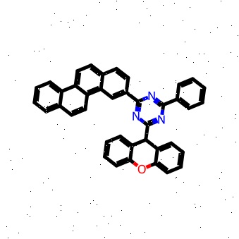 c1ccc(-c2nc(-c3ccc4ccc5c6ccccc6ccc5c4c3)nc(C3c4ccccc4Oc4ccccc43)n2)cc1